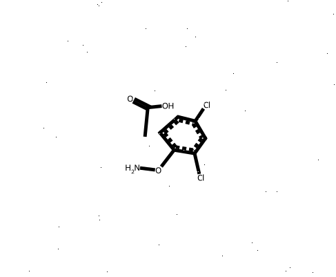 CC(=O)O.NOc1ccc(Cl)cc1Cl